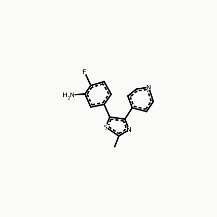 Cc1nc(-c2ccncc2)c(-c2ccc(F)c(N)c2)s1